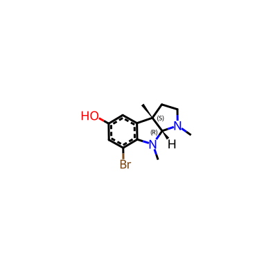 CN1CC[C@@]2(C)c3cc(O)cc(Br)c3N(C)[C@@H]12